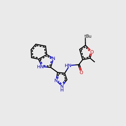 Cc1oc(C(C)(C)C)cc1C(=O)Nc1c[nH]nc1-c1nc2ccccc2[nH]1